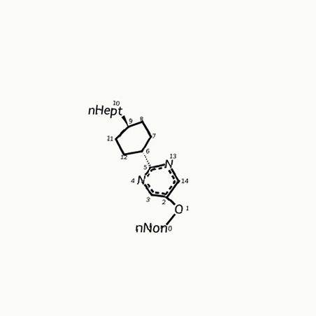 CCCCCCCCCOc1cnc([C@H]2CC[C@H](CCCCCCC)CC2)nc1